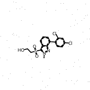 Cn1nc2c(-c3ccc(Cl)cc3Cl)cccc2c1S(=O)(=O)CCO